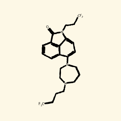 O=C1c2cccc3c(N4CCCN(CCCC(F)(F)F)CC4)ccc(c23)N1CCC(F)(F)F